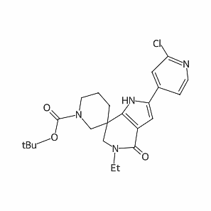 CCN1CC2(CCCN(C(=O)OC(C)(C)C)C2)c2[nH]c(-c3ccnc(Cl)c3)cc2C1=O